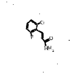 NC(=O)/C=C/c1c(F)cccc1Cl